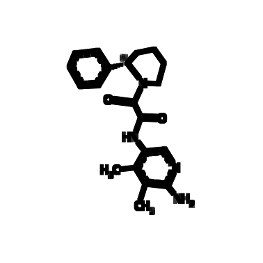 Cc1c(NC(=O)C(=O)N2CCCC[C@H]2c2ccccc2)cnc(N)c1C